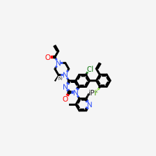 C=CC(=O)N1CCN(c2nc(=O)n(-c3c(C)ccnc3C(C)C)c3cc(-c4c(F)cccc4C=C)c(Cl)cc23)[C@@H](C)C1